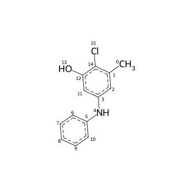 Cc1cc(Nc2ccccc2)cc(O)c1Cl